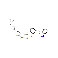 Cl.O=C(c1cc(Cc2n[nH]c(=O)c3ccccc23)ccc1F)N1CCN(C(=O)C2CCN(C3CN(CC4CNC4)C3)CC2)CC1